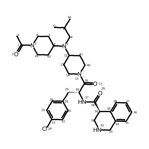 CC(=O)N1CCC(N(CC(C)C)C2CCN(C(=O)[C@@H](Cc3ccc(Cl)cc3)NC(=O)[C@@H]3CNCc4ccccc43)CC2)CC1